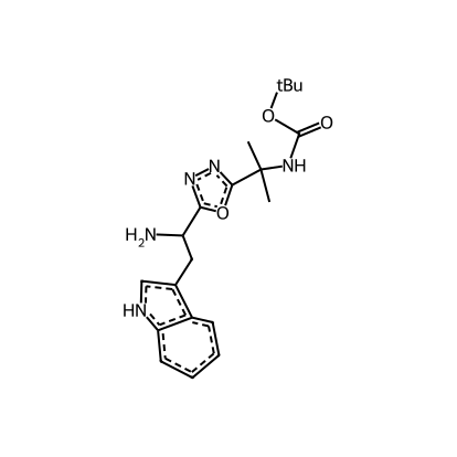 CC(C)(C)OC(=O)NC(C)(C)c1nnc(C(N)Cc2c[nH]c3ccccc23)o1